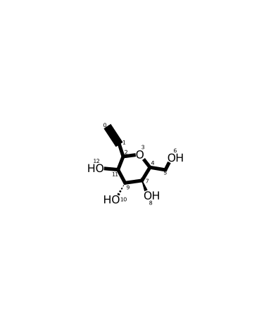 C#CC1OC(CO)[C@@H](O)[C@H](O)C1O